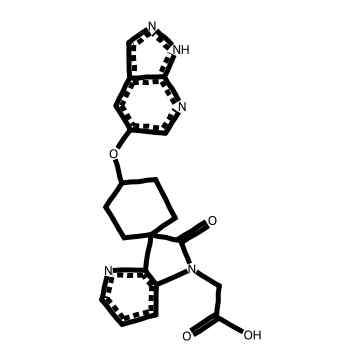 O=C(O)CN1C(=O)C2(CCC(Oc3cnc4[nH]ncc4c3)CC2)c2ncccc21